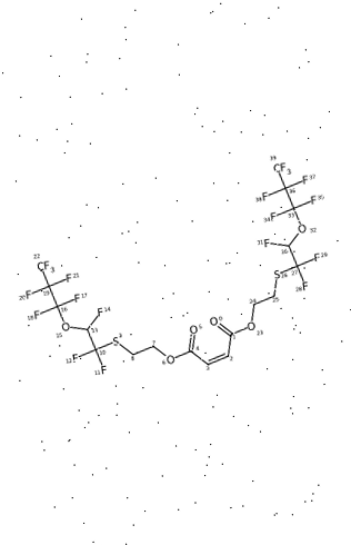 O=C(/C=C\C(=O)OCCSC(F)(F)C(F)OC(F)(F)C(F)(F)C(F)(F)F)OCCSC(F)(F)C(F)OC(F)(F)C(F)(F)C(F)(F)F